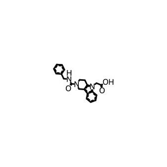 O=C(O)Cn1c2c(c3ccccc31)CN(C(=O)NCc1ccccc1)CC2